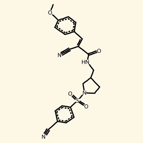 COc1ccc(/C=C(\C#N)C(=O)NCC2CCN(S(=O)(=O)c3ccc(C#N)cc3)C2)cc1